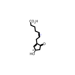 O=C(O)CCC/C=C\CC1=C[C@H](O)CC1=O